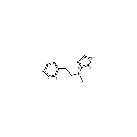 CN(CCc1ccccn1)c1ncsn1